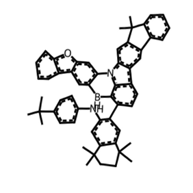 CC(C)(C)c1ccc(Nc2cc3c(cc2-c2ccc4c5cc6c(cc5n5c4c2Bc2cc4c(cc2-5)oc2ccccc24)C(C)(C)c2ccccc2-6)C(C)(C)CCC3(C)C)cc1